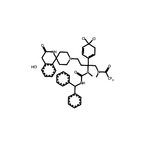 CN(CC(CCN1CCC2(CC1)NC(=O)Cc1ccccc12)(C1=CCC(Cl)(Cl)C=C1)N(C)C(=O)NC(c1ccccc1)c1ccccc1)C(=O)C(F)(F)F.Cl